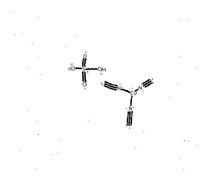 C#[N+][Cu]([N+]#C)[N+]#C.O=S(=O)(O)O